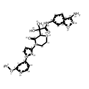 CC(C)Oc1cc(-n2ccc(N3CCOC(C(C)(O)C(=O)Nc4ccc5c(N)noc5c4)C3=O)n2)ccn1